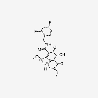 CCN1C[C@H]2C[C@@H](OC)c3c(C(=O)NCc4ccc(F)cc4F)c(=O)c(O)c(n32)C1=O